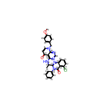 COc1ccc(Cn2ccc(=O)c3c(NC(C)c4nc5cccc(Cl)c5c(=O)n4-c4ccccc4)ncnc32)cc1